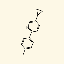 Cc1ccc(-c2ccc(C3CC3)cn2)cc1